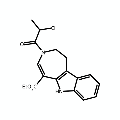 CCOC(=O)C1=CN(C(=O)C(C)Cl)CCc2c1[nH]c1ccccc21